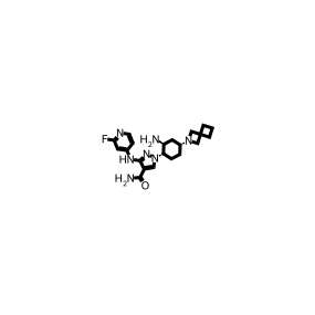 NC(=O)c1cn([C@H]2CC[C@@H](N3CC4(CCC4)C3)C[C@@H]2N)nc1Nc1ccnc(F)c1